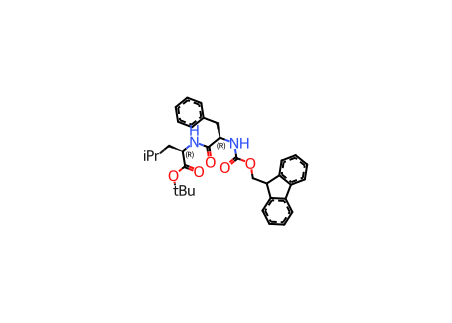 CC(C)C[C@@H](NC(=O)[C@@H](Cc1ccccc1)NC(=O)OCC1c2ccccc2-c2ccccc21)C(=O)OC(C)(C)C